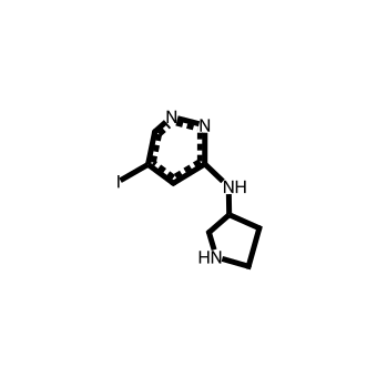 Ic1cnnc(NC2CCNC2)c1